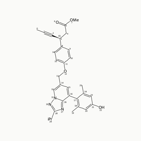 CC#C[C@@H](CC(=O)OC)c1ccc(OCc2cc(-c3c(C)cc(O)cc3C)c3nc(C(C)C)nn3c2)cc1